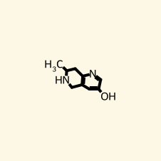 CC1Cc2ncc(O)cc2CN1